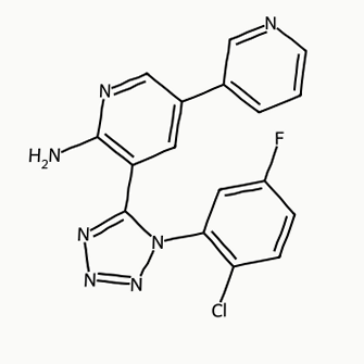 Nc1ncc(-c2cccnc2)cc1-c1nnnn1-c1cc(F)ccc1Cl